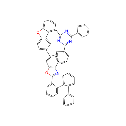 c1ccc(-c2nc(-c3ccccc3)nc(-c3cccc4oc5ccc(-c6ccc7nc(-c8ccccc8-c8ccccc8-c8ccccc8)oc7c6)cc5c34)n2)cc1